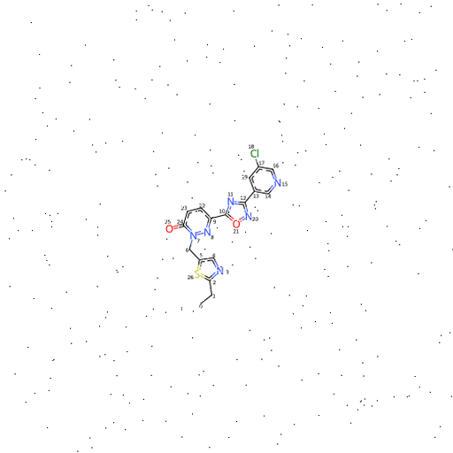 CCc1ncc(Cn2nc(-c3nc(-c4cncc(Cl)c4)no3)ccc2=O)s1